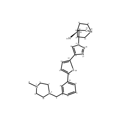 CN1CCN(Cc2cccc(-c3ccc(-c4cn([C@H]5CN6CCC5CC6)nn4)s3)c2)CC1